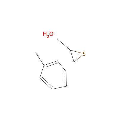 CC1CS1.Cc1ccccc1.O